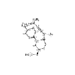 C=C(C)C#C[C@@H](N1CC[C@@H](CC(=O)O)C[C@H]1c1ccc(C(F)(F)F)cc1)C(C)(C)C